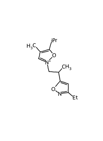 CCc1cc(C(C)C[n+]2cc(C)c(C(C)C)o2)on1